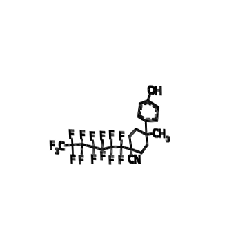 CC1(c2ccc(O)cc2)CCC(C#N)(C(F)(F)C(F)(F)C(F)(F)C(F)(F)C(F)(F)C(F)(F)C(F)(F)F)CC1